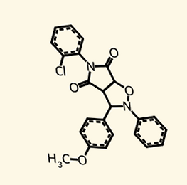 COc1ccc(C2C3C(=O)N(c4ccccc4Cl)C(=O)C3ON2c2ccccc2)cc1